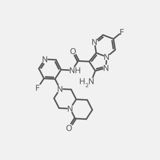 Nc1nn2cc(F)cnc2c1C(=O)Nc1cncc(F)c1N1CCN2C(=O)CCCC2C1